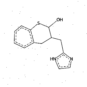 OC1Sc2ccccc2CC1Cc1ncc[nH]1